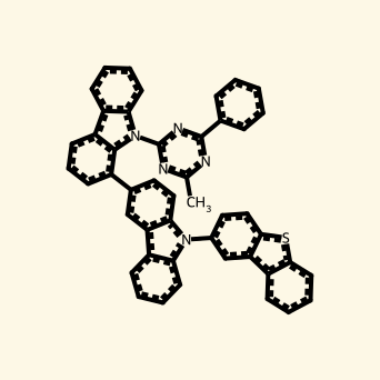 Cc1nc(-c2ccccc2)nc(-n2c3ccccc3c3cccc(-c4ccc5c(c4)c4ccccc4n5-c4ccc5sc6ccccc6c5c4)c32)n1